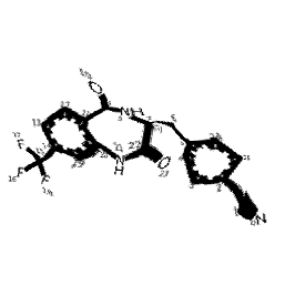 N#Cc1ccc(C[C@@H]2NC(=O)c3ccc(C(F)(F)F)cc3NC2=O)cc1